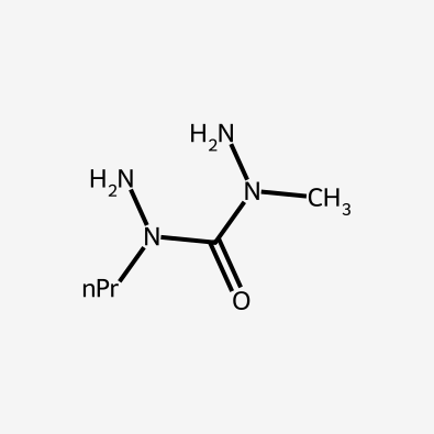 CCCN(N)C(=O)N(C)N